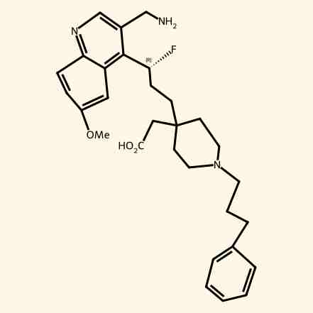 COc1ccc2ncc(CN)c([C@H](F)CCC3(CC(=O)O)CCN(CCCc4ccccc4)CC3)c2c1